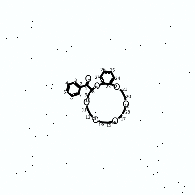 O=C(c1ccccc1)C1COCCOCCOCCOCCOc2ccccc2O1